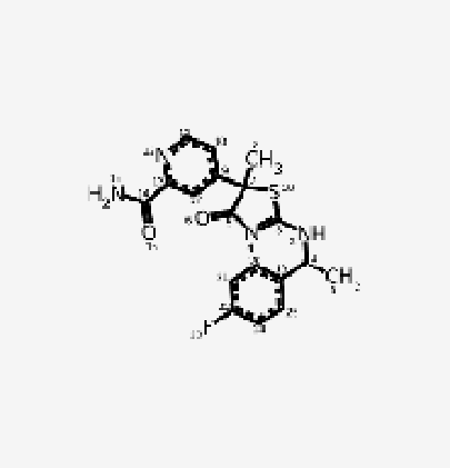 C[C@H](NC1=NC(=O)C(C)(c2ccnc(C(N)=O)c2)S1)c1ccc(F)cc1